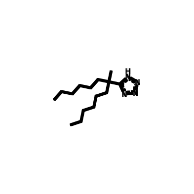 CCCCCCC(C)(CCCCCC)c1nnn[nH]1